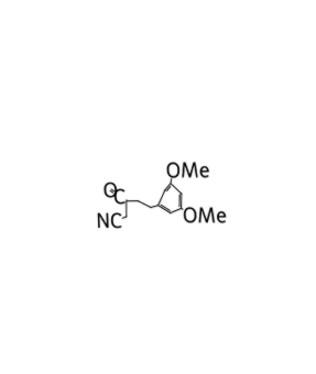 COc1cc(CCC(=C=O)CC#N)cc(OC)c1